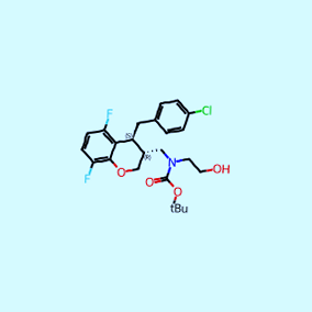 CC(C)(C)OC(=O)N(CCO)C[C@@H]1COc2c(F)ccc(F)c2[C@H]1Cc1ccc(Cl)cc1